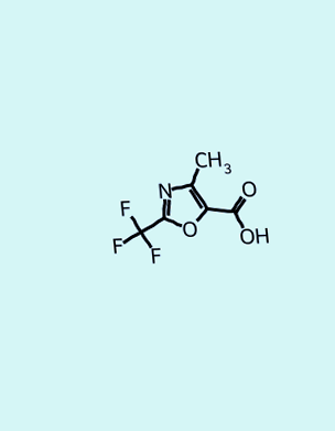 Cc1nc(C(F)(F)F)oc1C(=O)O